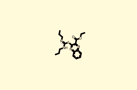 CCC/N=C(/NCCC)Sc1nc2ccccc2nc1C(=O)OCC